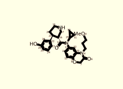 COCCCN1C(=O)COc2ccc(N(C(=O)[C@H]3CNCC[C@@H]3c3cccc(O)c3)C3CC3)cc21